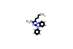 CCCCC1C(C)N=C2N(c3ccccc3)c3ccccc3N21